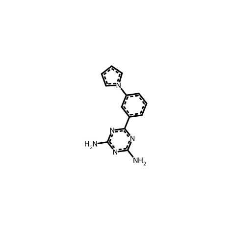 Nc1nc(N)nc(-c2cccc(-n3cccc3)c2)n1